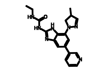 CCNC(=O)Nc1nc2cc(-c3cccnc3)cc(N3CC(C)C=N3)c2[nH]1